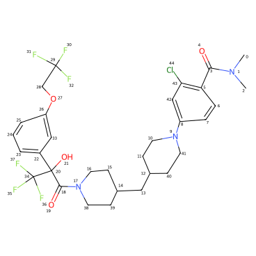 CN(C)C(=O)c1ccc(N2CCC(CC3CCN(C(=O)C(O)(c4cccc(OCC(F)(F)F)c4)C(F)(F)F)CC3)CC2)cc1Cl